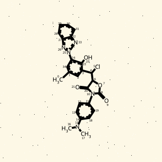 Cc1cc(C(Cl)C2OC(=O)N(c3ccc(N(C)C)cc3)C2=O)c(O)c(-n2nc3ccccc3n2)c1